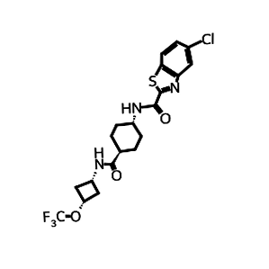 O=C(N[C@H]1CC[C@H](C(=O)N[C@H]2C[C@@H](OC(F)(F)F)C2)CC1)c1nc2cc(Cl)ccc2s1